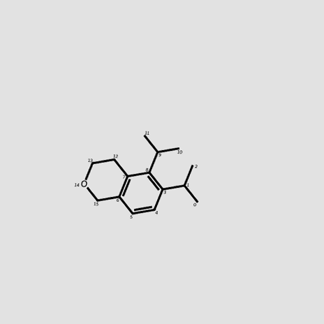 CC(C)c1ccc2c(c1C(C)C)CCOC2